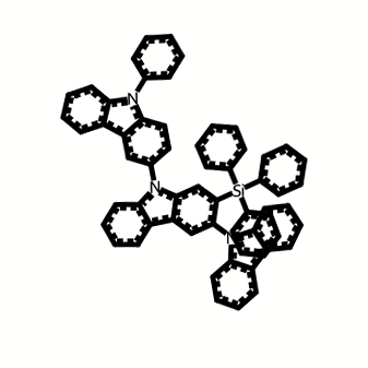 c1ccc(-n2c3ccccc3c3cc(-n4c5ccccc5c5cc(-n6c7ccccc7c7ccccc76)c([Si](c6ccccc6)(c6ccccc6)c6ccccc6)cc54)ccc32)cc1